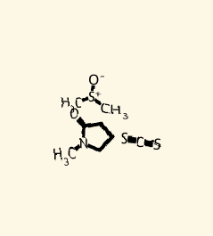 CN1CCCC1=O.C[S+](C)[O-].S=C=S